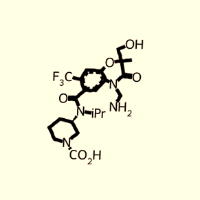 CC(C)N(C(=O)c1cc2c(cc1C(F)(F)F)OC(C)(CO)C(=O)N2CN)[C@@H]1CCCN(C(=O)O)C1